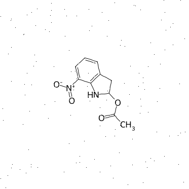 CC(=O)OC1Cc2cccc([N+](=O)[O-])c2N1